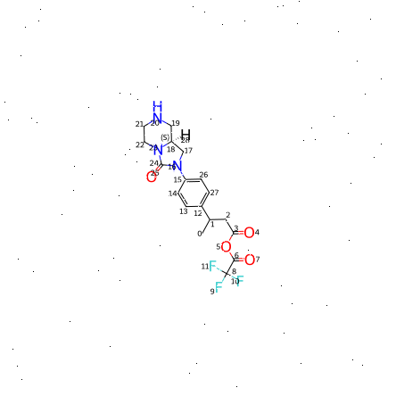 CC(CC(=O)OC(=O)C(F)(F)F)c1ccc(N2C[C@@H]3CNCCN3C2=O)cc1